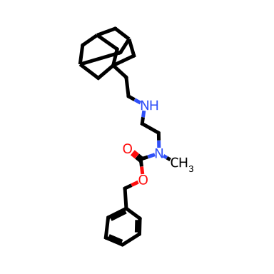 CN(CCNCCC12CC3CC(CC(C3)C1)C2)C(=O)OCc1ccccc1